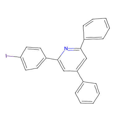 Ic1ccc(-c2cc(-c3ccccc3)cc(-c3ccccc3)n2)cc1